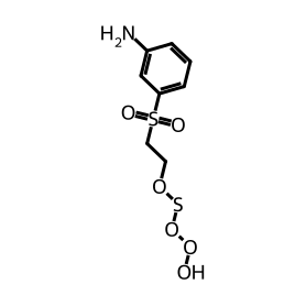 Nc1cccc(S(=O)(=O)CCOSOOO)c1